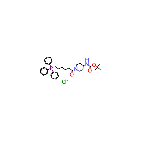 CC(C)(C)OC(=O)NC1CCN(C(=O)CCCCC[P+](c2ccccc2)(c2ccccc2)c2ccccc2)CC1.[Cl-]